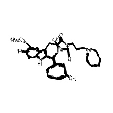 COc1cc2c3c([nH]c2cc1F)C(c1cccc(O)c1)N1C(=O)N(CCCN2CC=CCC2)C(=O)C1(C)C3